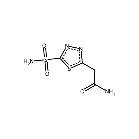 NC(=O)Cc1nnc(S(N)(=O)=O)s1